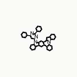 c1ccc(-c2cc(-n3c4ccccc4c4cc5c6ccccc6n6c7ccccc7cc6c5cc43)nc(-c3ccccc3)n2)cc1